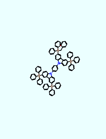 c1ccc(CS(c2ccccc2)(c2ccccc2)c2ccc3c(c2)c2cc(S(c4ccccc4)(c4ccccc4)c4ccccc4)ccc2n3-c2ccc(-n3c4ccc(S(c5ccccc5)(c5ccccc5)c5ccccc5)cc4c4cc(S(c5ccccc5)(c5ccccc5)c5ccccc5)ccc43)cc2)cc1